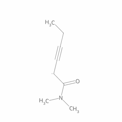 CCC#C[CH]C(=O)N(C)C